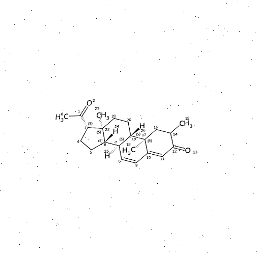 CC(=O)[C@H]1CC[C@H]2[C@@H]3C=CC4=CC(=O)C(C)C[C@]4(C)[C@H]3CC[C@]12C